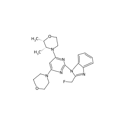 C[C@@H]1OCCN(c2cc(N3CCOCC3)nc(-n3c(CF)nc4ccccc43)n2)[C@@H]1C